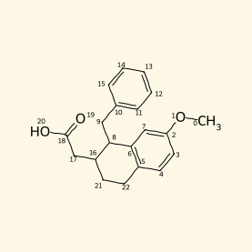 COc1ccc2c(c1)C(Cc1ccccc1)C(CC(=O)O)CC2